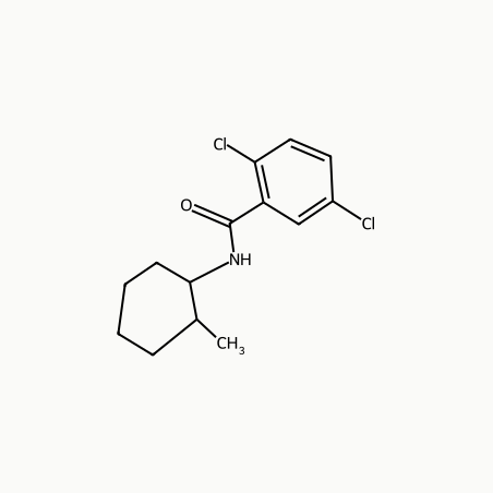 CC1CCCCC1NC(=O)c1cc(Cl)ccc1Cl